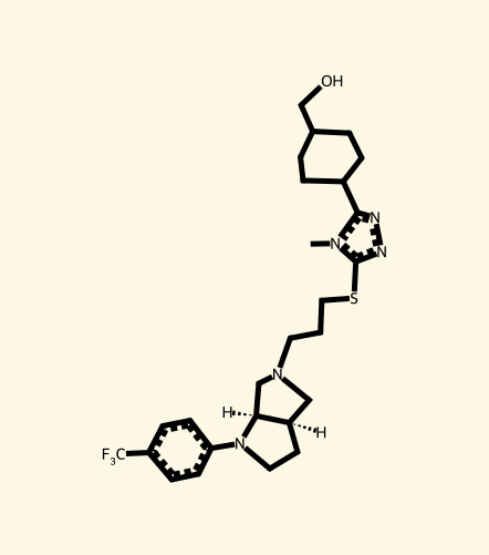 Cn1c(SCCCN2C[C@H]3CCN(c4ccc(C(F)(F)F)cc4)[C@H]3C2)nnc1C1CCC(CO)CC1